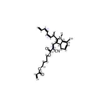 C=C/C=C\C=C/C(C)C1=C(/C=C(\C#N)C(=O)OCCCCOC(=O)C=C)C2CC=CC(I)=C2N1C